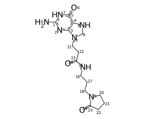 Nc1nc2c(c(=O)[nH]1)NCN2CCC(=O)NCCCN1CCCC1=O